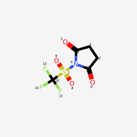 O=C1CCC(=O)N1S(=O)(=O)C(F)(F)F